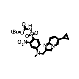 CN(Cc1cn2cc(C3CC3)ccc2n1)c1ccc(S(=O)(=O)NC(=O)OC(C)(C)C)c([N+](=O)[O-])c1